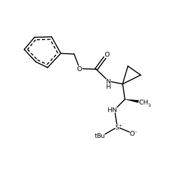 C[C@@H](N[S+]([O-])C(C)(C)C)C1(NC(=O)OCc2ccccc2)CC1